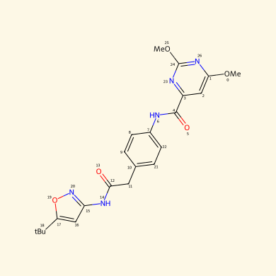 COc1cc(C(=O)Nc2ccc(CC(=O)Nc3cc(C(C)(C)C)on3)cc2)nc(OC)n1